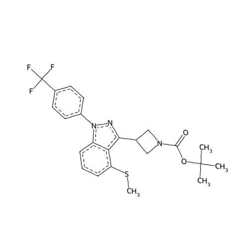 CSc1cccc2c1c(C1CN(C(=O)OC(C)(C)C)C1)nn2-c1ccc(C(F)(F)F)cc1